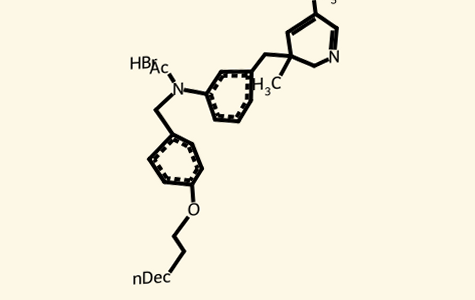 Br.CCCCCCCCCCCCOc1ccc(CN(C(C)=O)c2cccc(CC3(C)C=C(C)C=NC3)c2)cc1